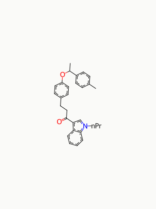 CCCn1cc(C(=O)CCc2ccc(OC(C)c3ccc(C)cc3)cc2)c2ccccc21